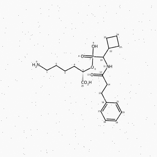 NCCCC[C@H](OP(=O)(O)C(NC(=O)CCc1ccccc1)C1CCC1)C(=O)O